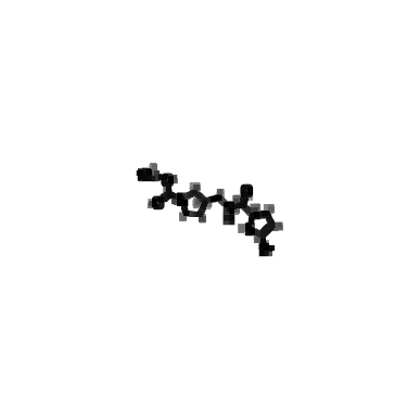 CC(C)(C)OC(=O)N1CC[C@H](CNC(=O)c2ccc(Br)s2)C1